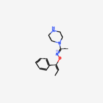 CC=C(O/N=C(\C)N1CCNCC1)c1ccccc1